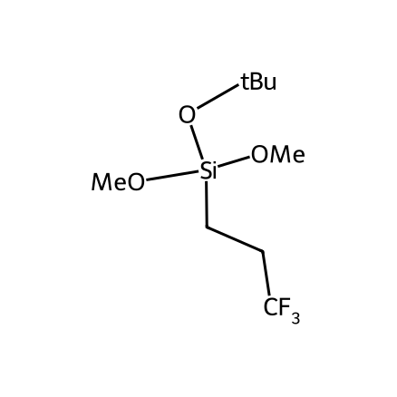 CO[Si](CCC(F)(F)F)(OC)OC(C)(C)C